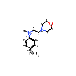 CN(CCN1CCOCC1)c1ccc([N+](=O)[O-])cc1